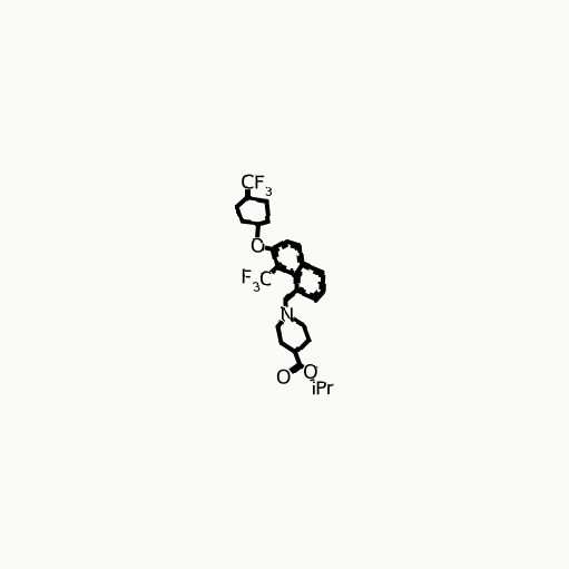 CC(C)OC(=O)C1CCN(Cc2cccc3ccc(OC4CCC(C(F)(F)F)CC4)c(C(F)(F)F)c23)CC1